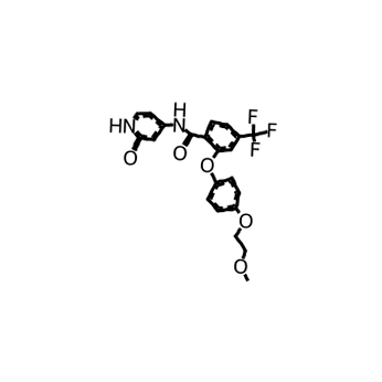 COCCOc1ccc(Oc2cc(C(F)(F)F)ccc2C(=O)Nc2cc[nH]c(=O)c2)cc1